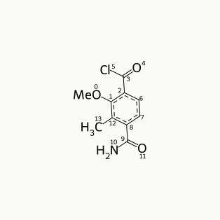 COc1c(C(=O)Cl)ccc(C(N)=O)c1C